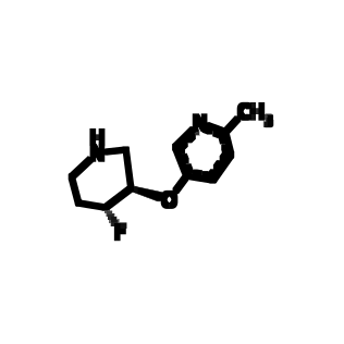 Cc1ccc(O[C@@H]2CNCC[C@H]2F)cn1